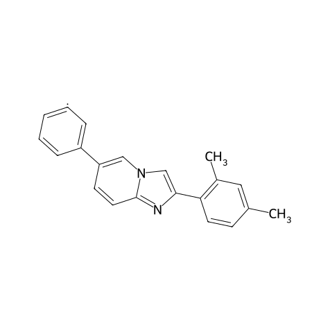 Cc1ccc(-c2cn3cc(-c4c[c]ccc4)ccc3n2)c(C)c1